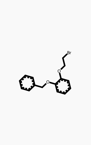 BrCCOc1ccccc1OCc1ccccc1